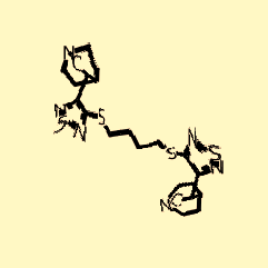 C(CCSc1nsnc1C1CN2CCC1CC2)CSc1nsnc1C1CN2CCC1CC2